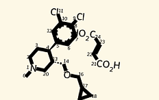 CN1CC[C@@H](c2ccc(Cl)c(Cl)c2)[C@H](COCC2CC2)C1.O=C(O)C=CC(=O)O